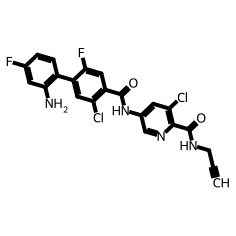 C#CCNC(=O)c1ncc(NC(=O)c2cc(F)c(-c3ccc(F)cc3N)cc2Cl)cc1Cl